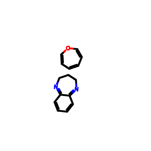 C1=CC=COC=C1.c1ccc2c(c1)=NCCCN=2